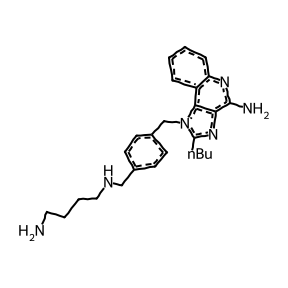 CCCCc1nc2c(N)nc3ccccc3c2n1Cc1ccc(CNCCCCN)cc1